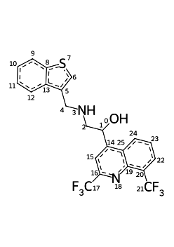 OC(CNCc1csc2ccccc12)c1cc(C(F)(F)F)nc2c(C(F)(F)F)cccc12